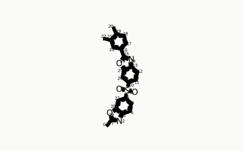 Cc1nc2ccc(S(=O)(=O)c3ccc4nc(-c5ccc(C)c(C)c5)oc4c3)cc2o1